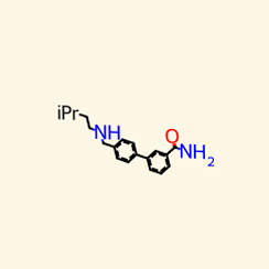 CC(C)CCNCc1ccc(-c2cccc(C(N)=O)c2)cc1